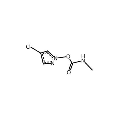 CNC(=O)On1cc(Cl)cn1